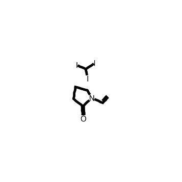 C=CN1CCCC1=O.IC(I)I